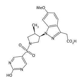 COc1ccc2c(CC(=O)O)nn([C@H]3CN(S(=O)(=O)c4cnc(O)nc4)C[C@H]3C)c2c1